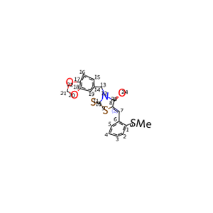 CSc1ccccc1/C=C1\SC(=S)N(Cc2ccc3c(c2)OCO3)C1=O